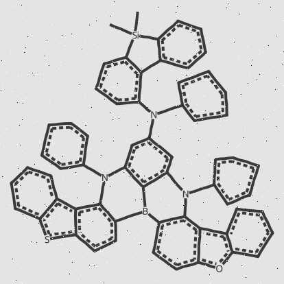 C[Si]1(C)c2ccccc2-c2c(N(c3ccccc3)c3cc4c5c(c3)N(c3ccccc3)c3c(ccc6sc7ccccc7c36)B5c3ccc5oc6ccccc6c5c3N4c3ccccc3)cccc21